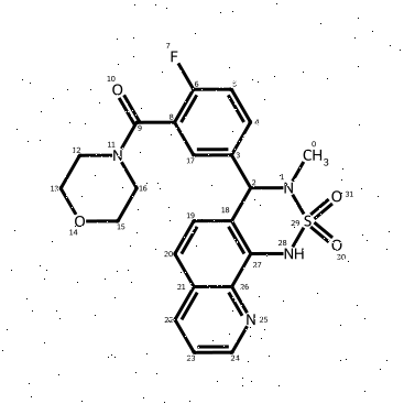 CN1C(c2ccc(F)c(C(=O)N3CCOCC3)c2)c2ccc3cccnc3c2NS1(=O)=O